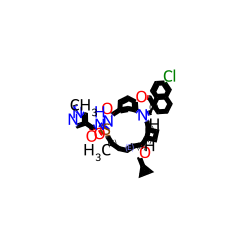 C[C@H]1C/C=C/[C@H](OCC2CC2)[C@@H]2CC[C@H]2CN2C[C@@]3(CCCc4cc(Cl)ccc43)COc3ccc(cc32)C(=O)N=S(=O)(NC(=O)c2cnn(C)c2)C1